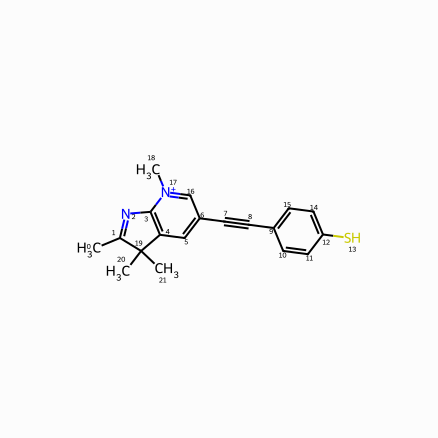 CC1=Nc2c(cc(C#Cc3ccc(S)cc3)c[n+]2C)C1(C)C